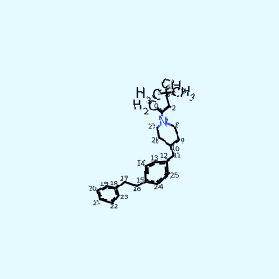 C=C(CC(C)(C)C)N1CCC(Cc2ccc(CCc3ccccc3)cc2)CC1